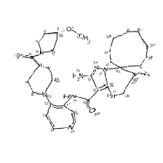 CO[C@H]1CCN(C(=O)C2CCN(c3ccncc3NC(=O)c3c(N)nn4c3NCC(F)C43CCCCCCCC3)CC2)C1